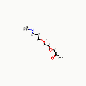 CCC(=O)COCCOCCCNC(C)C